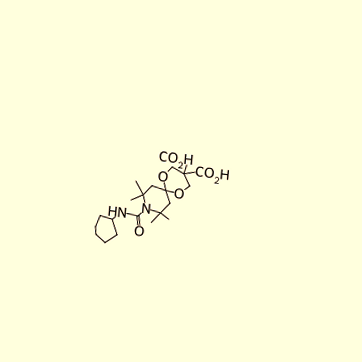 CC1(C)CC2(CC(C)(C)N1C(=O)NC1CCCCC1)OCC(C(=O)O)(C(=O)O)CO2